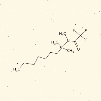 CCCCCCC[Si](C)(C)N(C)C(=O)C(F)(F)F